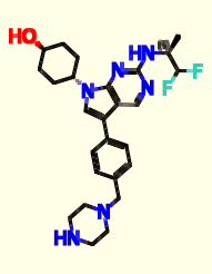 C[C@H](Nc1ncc2c(-c3ccc(CN4CCNCC4)cc3)cn([C@H]3CC[C@H](O)CC3)c2n1)C(F)F